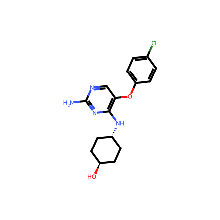 Nc1ncc(Oc2ccc(Cl)cc2)c(N[C@H]2CC[C@H](O)CC2)n1